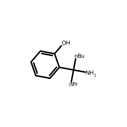 CCCCC(N)(CCC)c1ccccc1O